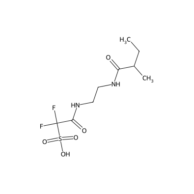 CCC(C)C(=O)NCCNC(=O)C(F)(F)S(=O)(=O)O